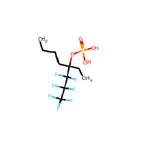 CCCCC(CC)(OP(=O)(O)O)C(F)(F)C(F)(F)C(F)(F)F